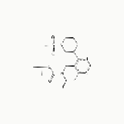 C[C@@H]1Cc2ncnc(C3CCCN(S(C)(=O)=O)C3)c2CN1C(=O)OC(C)(C)C